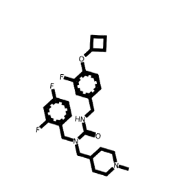 CN1CCC(CN(Cc2ccc(F)cc2F)C(=O)NCc2ccc(OC3CCC3)c(F)c2)CC1